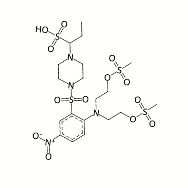 CCC(N1CCN(S(=O)(=O)c2cc([N+](=O)[O-])ccc2N(CCOS(C)(=O)=O)CCOS(C)(=O)=O)CC1)S(=O)(=O)O